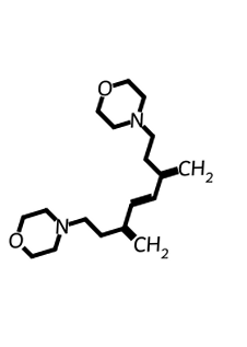 C=C(C=CC(=C)CCN1CCOCC1)CCN1CCOCC1